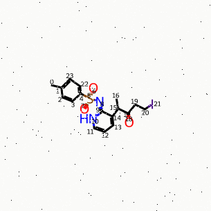 Cc1ccc(S(=O)(=O)N=c2[nH]cccc2C(C)C(=O)CCI)cc1